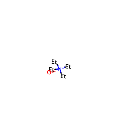 CC[N+](CC)(CC)CC.[O-2]